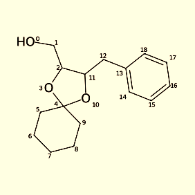 OCC1OC2(CCCCC2)OC1Cc1ccccc1